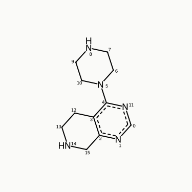 c1nc2c(c(N3CCNCC3)n1)CCNC2